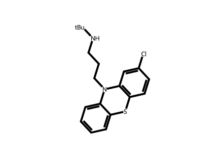 CC(C)(C)NCCCN1c2ccccc2Sc2ccc(Cl)cc21